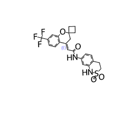 O=C(/C=C1\CC2(CCC2)Oc2cc(C(F)(F)F)ccc21)Nc1ccc2c(c1)NS(=O)(=O)CC2